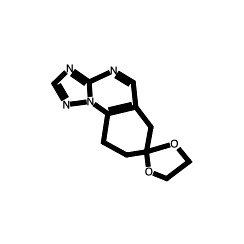 c1nc2ncc3c(n2n1)CCC1(C3)OCCO1